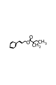 C=C(CC)C(=O)OCC=Cc1ccccc1